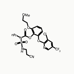 CCCN(C(=O)Oc1c(OCCOC)cccc1Oc1ncc(C(F)(F)F)cc1Cl)S(=O)(=O)NCCC#N